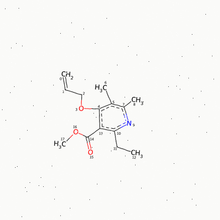 C=CCOc1c(C)c(C)nc(CC)c1C(=O)OC